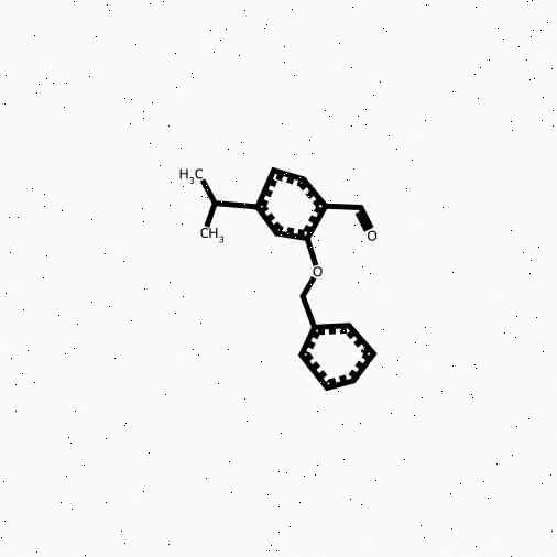 CC(C)c1ccc(C=O)c(OCc2ccccc2)c1